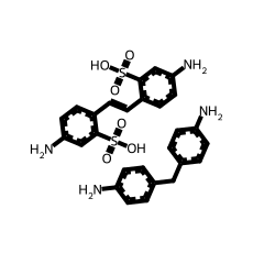 Nc1ccc(C=Cc2ccc(N)cc2S(=O)(=O)O)c(S(=O)(=O)O)c1.Nc1ccc(Cc2ccc(N)cc2)cc1